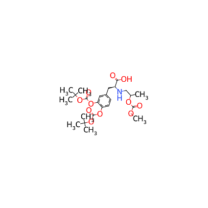 COC(=O)OC(C)CN[C@@H](Cc1ccc(OC(=O)OC(C)(C)C)c(OC(=O)OC(C)(C)C)c1)C(=O)O